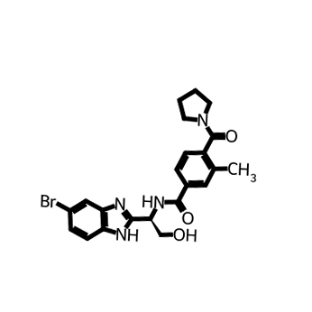 Cc1cc(C(=O)N[C@@H](CO)c2nc3cc(Br)ccc3[nH]2)ccc1C(=O)N1CCCC1